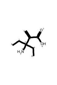 C=C(C(=O)O)C(N)(CC)CC